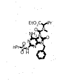 CCCS(=O)(=O)Nc1nc(N)c2c(n1)n(Cc1ccccc1)c(=O)n2C(=O)N(C)C(C(=O)OCC)C(C)C